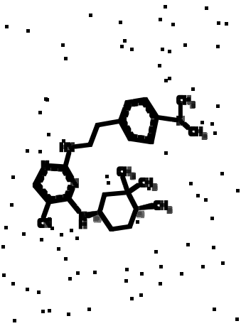 C[C@H]1CC[C@@H](Nc2nc(NCCc3ccc(N(C)C)cc3)ncc2C#N)CC1(C)C